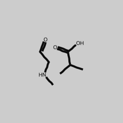 CC(C)C(=O)O.CNCC=O